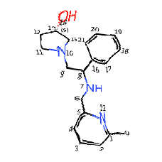 Cc1cccc(CNC(CN2CC[C@H](O)C2)c2ccccc2)n1